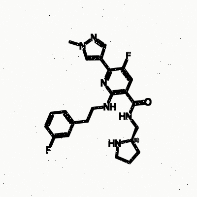 Cn1cc(-c2nc(NCCc3cccc(F)c3)c(C(=O)NC[C@H]3CCCN3)cc2F)cn1